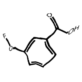 O=C(O)c1cccc(OF)c1